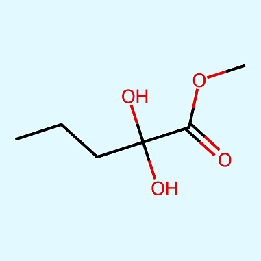 CCCC(O)(O)C(=O)OC